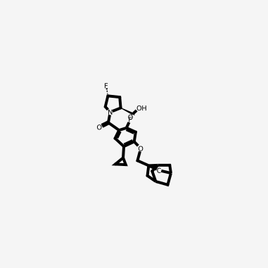 O=C(O)[C@@H]1C[C@@H](F)CN1C(=O)c1cc(C2CC2)c(OCC23CC4CC(CC2C4)C3)cc1F